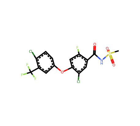 CS(=O)(=O)NC(=O)c1cc(Cl)c(Oc2ccc(Cl)c(C(F)(F)F)c2)cc1F